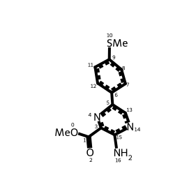 COC(=O)c1nc(-c2ccc(SC)cc2)cnc1N